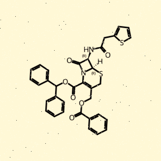 O=C(Cc1cccs1)N[C@@H]1C(=O)N2C(C(=O)OC(c3ccccc3)c3ccccc3)=C(COC(=O)c3ccccc3)CS[C@H]12